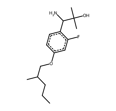 CCCC(C)COc1ccc(C(N)C(C)(C)O)c(F)c1